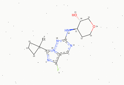 CCC1(c2nc(F)c3cnc(N[C@@H]4CCOC[C@H]4O)nn23)CCC1